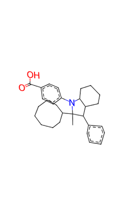 CC1(C2CCCCCCC2)C(c2ccccc2)C2CCCCC2N1c1ccc(C(=O)O)cc1